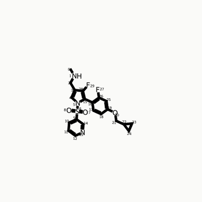 CNCc1cn(S(=O)(=O)c2cccnc2)c(-c2ccc(OCC3CC3)cc2F)c1F